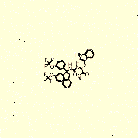 COC(=O)[C@@H](Cc1c[nH]c2ccccc12)NC(=O)NC(Cc1ccccc1)(c1cccc(OC(F)(F)F)c1)c1cccc(OC(F)(F)F)c1